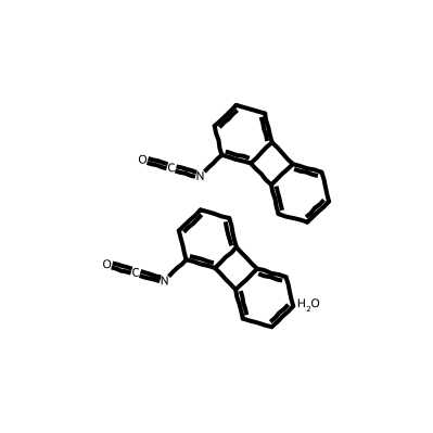 O.O=C=Nc1cccc2c1-c1ccccc1-2.O=C=Nc1cccc2c1-c1ccccc1-2